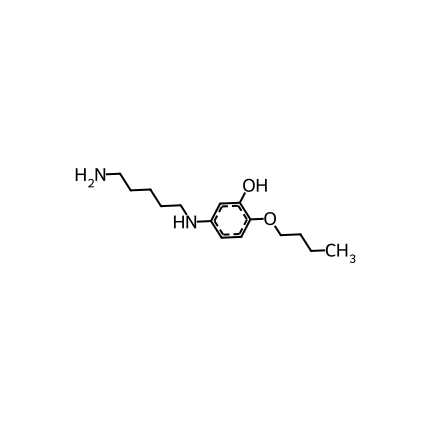 CCCCOc1ccc(NCCCCCN)cc1O